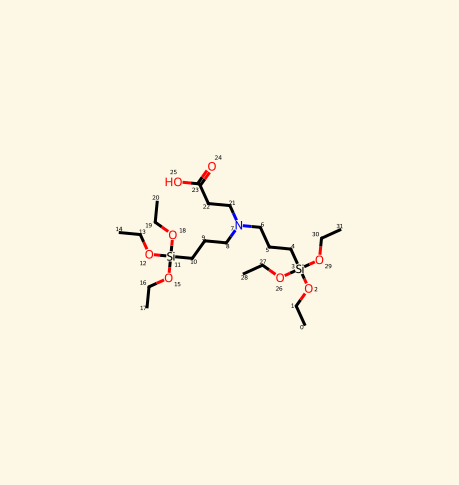 CCO[Si](CCCN(CCC[Si](OCC)(OCC)OCC)CCC(=O)O)(OCC)OCC